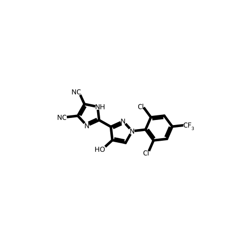 N#Cc1nc(-c2nn(-c3c(Cl)cc(C(F)(F)F)cc3Cl)cc2O)[nH]c1C#N